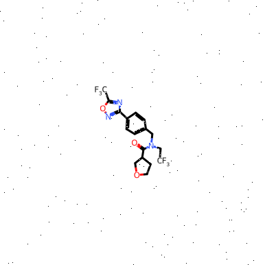 O=C(C1CCOC1)N(Cc1ccc(-c2noc(C(F)(F)F)n2)cc1)CC(F)(F)F